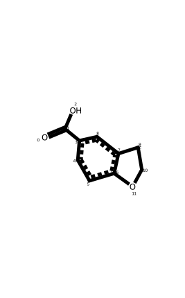 O=C(O)c1ccc2c(c1)[C]CO2